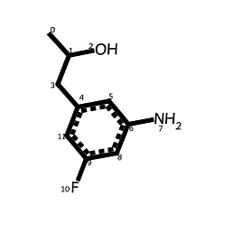 CC(O)Cc1cc(N)cc(F)c1